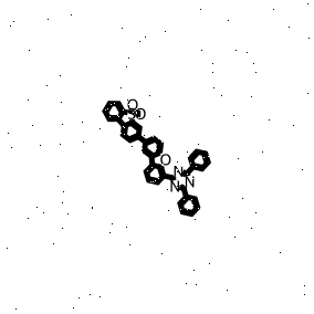 O=S1(=O)c2ccccc2-c2ccc(-c3ccc4oc5c(-c6nc(-c7ccccc7)nc(-c7ccccc7)n6)cccc5c4c3)cc21